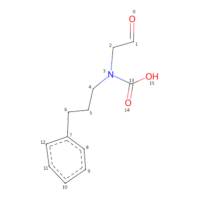 O=CCN(CCCc1ccccc1)C(=O)O